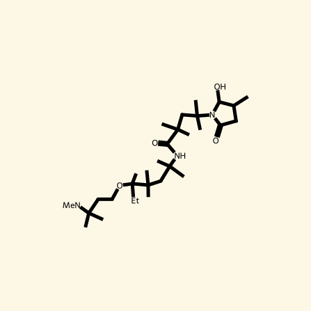 CCC(C)(OCCC(C)(C)NC)C(C)(C)CC(C)(C)NC(=O)C(C)(C)CC(C)(C)N1C(=O)CC(C)C1O